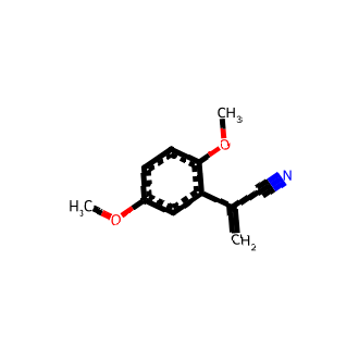 C=C(C#N)c1cc(OC)ccc1OC